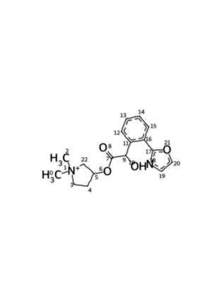 C[N+]1(C)CCC(OC(=O)C(O)c2ccccc2-c2ncco2)C1